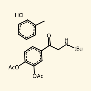 CC(=O)Oc1ccc(C(=O)CNC(C)(C)C)cc1OC(C)=O.Cc1ccccc1.Cl